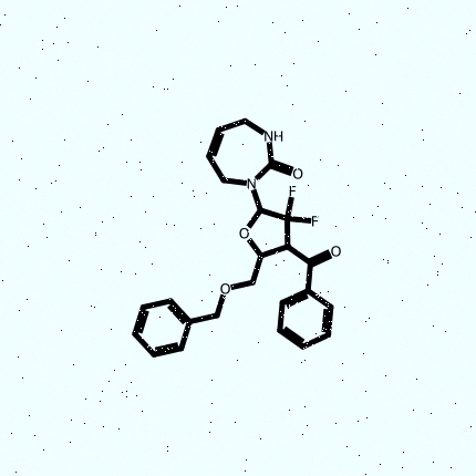 O=C(c1ccccc1)C1C(COCc2ccccc2)OC(N2CC=CCNC2=O)C1(F)F